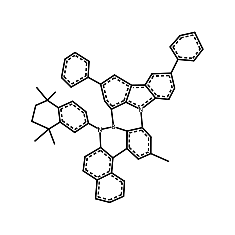 Cc1cc2c3c(c1)-n1c4ccc(-c5ccccc5)cc4c4cc(-c5ccccc5)cc(c41)B3N(c1ccc3c(c1)C(C)(C)CCC3(C)C)c1ccc3ccccc3c1-2